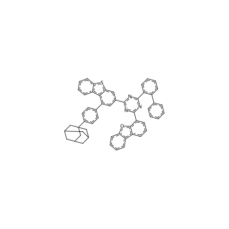 c1ccc(-c2ccccc2-c2nc(-c3cc(-c4ccc(C56CC7CC(CC(C7)C5)C6)cc4)c4c(c3)sc3ccccc34)nc(-c3cccc4c3oc3ccccc34)n2)cc1